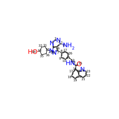 Nc1ncnc2c1c(-c1ccc(CNC(=O)c3cccc4cccnc34)cc1)nn2C1CCC(O)CC1